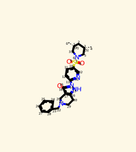 C[C@@H]1C[C@H](C)CN(S(=O)(=O)c2ccc(-n3[nH]c4c(c3=O)CN(Cc3ccccc3)CC4)nc2)C1